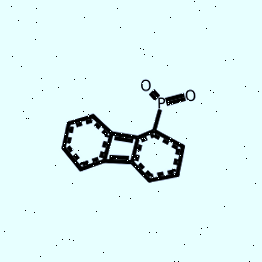 O=P(=O)c1cccc2c1=c1ccccc1=2